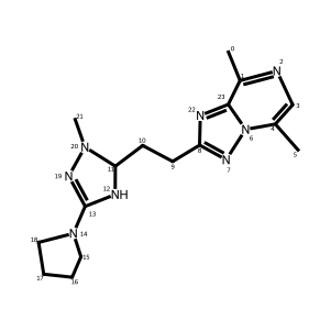 Cc1ncc(C)n2nc(CCC3NC(N4CCCC4)=NN3C)nc12